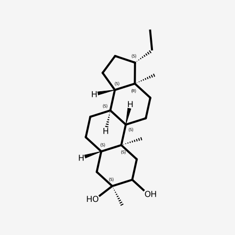 CC[C@H]1CC[C@H]2[C@@H]3CC[C@H]4C[C@](C)(O)C(O)C[C@]4(C)[C@H]3CC[C@]12C